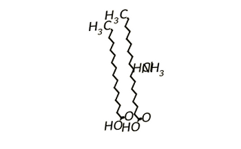 CCCCCCCCCCCCCCCC(=O)O.CCCCCCCCCCCCCCCCCC(=O)O.Cl.N